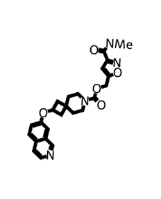 CNC(=O)c1cc(COC(=O)N2CCC3(CC2)CC(Oc2ccc4ccncc4c2)C3)on1